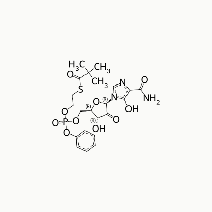 CC(C)(C)C(=O)SCCOP(=O)(OC[C@H]1O[C@@H](n2cnc(C(N)=O)c2O)C(=O)[C@@H]1O)Oc1ccccc1